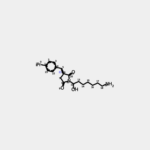 CC(C)c1ccc(/C=C2\CC(=O)N(C(O)CCCCCCN)C2=O)cc1